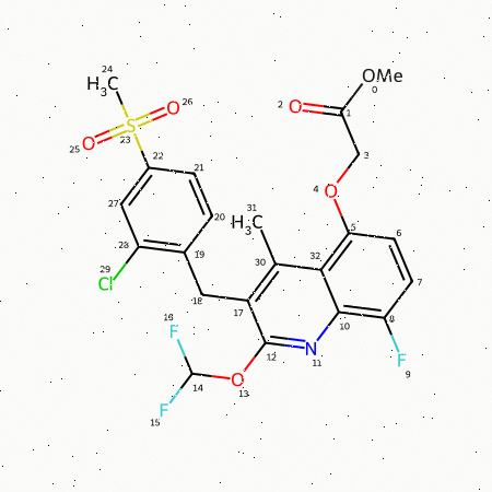 COC(=O)COc1ccc(F)c2nc(OC(F)F)c(Cc3ccc(S(C)(=O)=O)cc3Cl)c(C)c12